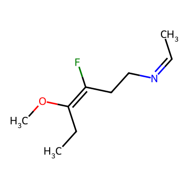 C/C=N\CC/C(F)=C(\CC)OC